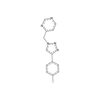 Cc1ccc(-c2cn(Cc3ccncn3)nn2)cc1